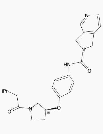 CC(C)CC(=O)N1CC[C@H](Oc2ccc(NC(=O)N3Cc4ccncc4C3)cc2)C1